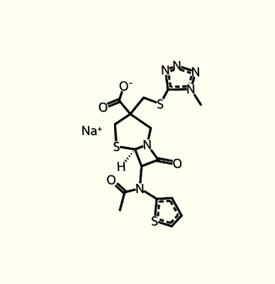 CC(=O)N(c1cccs1)C1C(=O)N2CC(CSc3nnnn3C)(C(=O)[O-])CS[C@H]12.[Na+]